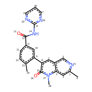 Cc1cc2c(cn1)cc(-c1cc(C(=O)Nc3ncccn3)ccc1C)c(=O)n2C